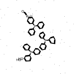 O=[C]=[Ru+2].[OH-].[OH-].c1ccc(P(c2ccccc2)c2ccccc2)cc1.c1ccc(P(c2ccccc2)c2ccccc2)cc1.c1ccc(P(c2ccccc2)c2ccccc2)cc1